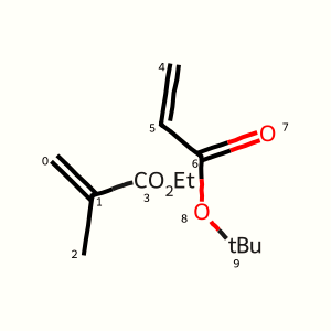 C=C(C)C(=O)OCC.C=CC(=O)OC(C)(C)C